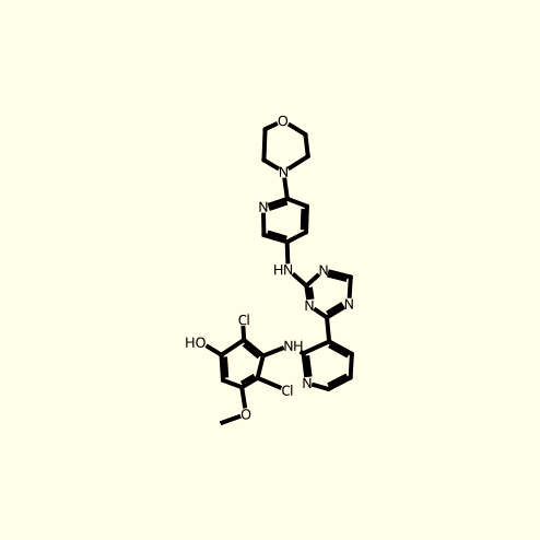 COc1cc(O)c(Cl)c(Nc2ncccc2-c2ncnc(Nc3ccc(N4CCOCC4)nc3)n2)c1Cl